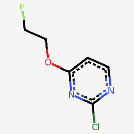 FCCOc1ccnc(Cl)n1